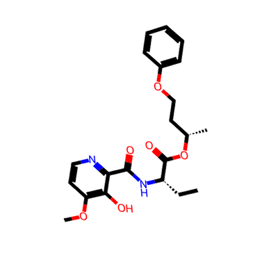 CC[C@H](NC(=O)c1nccc(OC)c1O)C(=O)O[C@@H](C)CCOc1ccccc1